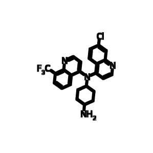 NC1CCC(N(c2ccnc3cc(Cl)ccc23)c2ccnc3c(C(F)(F)F)cccc23)CC1